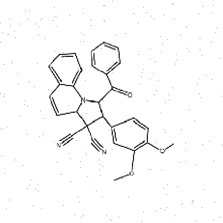 COc1ccc(C2C(C(=O)c3ccccc3)N3c4ccccc4C=CC3C2(C#N)C#N)cc1OC